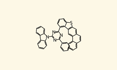 c1ccc(-c2nc(-c3cccc4sc5cc6ccc7ccccc7c6cc5c34)nc(-n3c4ccccc4c4ccccc43)n2)cc1